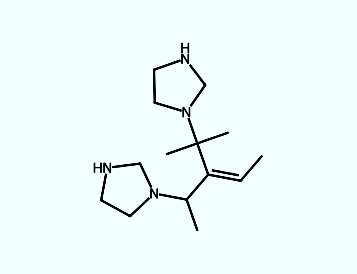 CC=C(C(C)N1CCNC1)C(C)(C)N1CCNC1